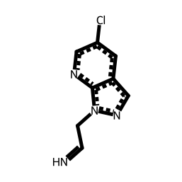 N=CCn1ncc2cc(Cl)cnc21